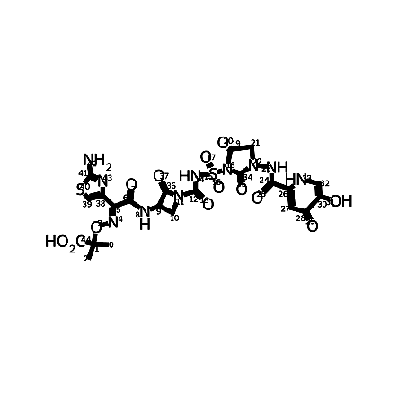 CC(C)(ON=C(C(=O)NC1CN(C(=O)NS(=O)(=O)N2C(=O)CN(NC(=O)c3cc(=O)c(O)c[nH]3)C2=O)C1=O)c1csc(N)n1)C(=O)O